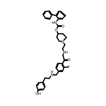 O=C(Nc1ccccc1-c1ccccc1)OC1CCN(CCNCC(=O)c2ccc(CNCCc3ccc(O)cc3)cc2F)CC1